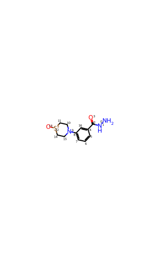 NNC(=O)c1cccc(N2CC[S+]([O-])CC2)c1